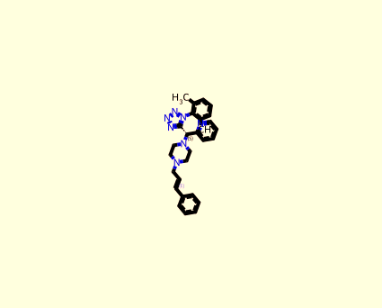 Cc1cccc(C)c1-n1nnnc1[C@H](c1ccccn1)N1CCN(C/C=C/c2ccccc2)CC1